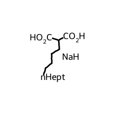 CCCCCCCCCCCC(C(=O)O)C(=O)O.[NaH]